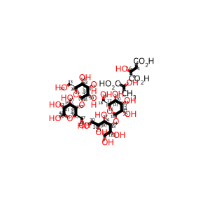 CC(O)C(=O)O.O=C(O)CC(O)C(=O)O.OC[C@@H](O)[C@@H](O[C@H]1O[C@H](CO)[C@@H](O)[C@H](O)[C@H]1O)[C@H](O)[C@@H](O)CO.OC[C@H]1O[C@@H](O[C@H]2[C@H](O)[C@@H](O)[C@H](O)O[C@@H]2CO)[C@H](O)[C@@H](O)[C@H]1O